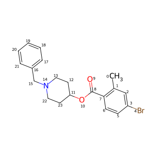 Cc1cc(Br)ccc1C(=O)OC1CCN(Cc2ccccc2)CC1